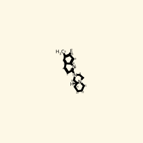 Cc1cc2ccc(N3CCN4CCCC[C@@H]4C3)nc2cc1F